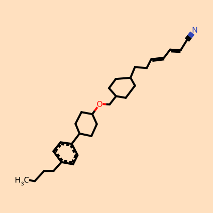 CCCCc1ccc(C2CCC(OCC3CCC(CCC=CC=CC#N)CC3)CC2)cc1